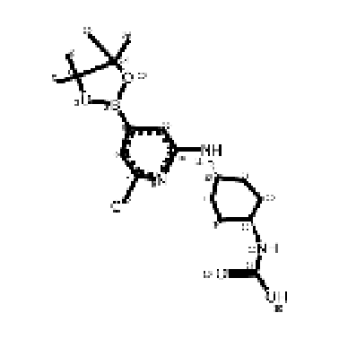 CC1(C)OB(c2cc(Cl)nc(N[C@H]3CC[C@H](NC(=O)O)CC3)c2)OC1(C)C